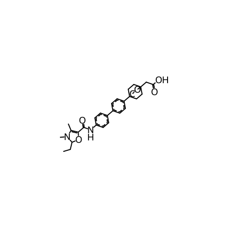 CCC1OC(C(=O)Nc2ccc(-c3ccc(C45CCC(CC(=O)O)(CC4)OC5)cc3)cc2)=C(C)N1C